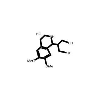 COc1cc2c(cc1OC)C(C(CO)CO)NCC2.Cl